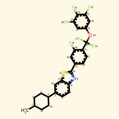 CC1CCC(c2ccc3nc(-c4ccc(C(F)(F)Oc5cc(F)c(F)c(F)c5)c(F)c4)sc3c2)CC1